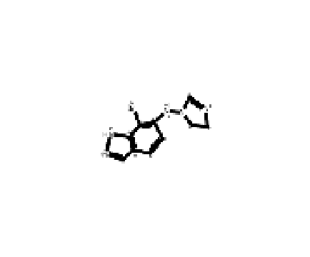 Brc1c(NN2C=NCC2)ccc2cn[nH]c12